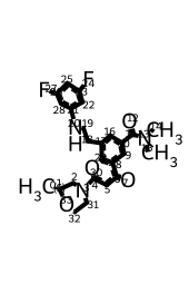 C[C@H]1CN(c2cc(=O)c3cc(C(=O)N(C)C)cc(CCNc4cc(F)cc(F)c4)c3o2)CCO1